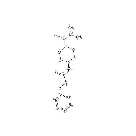 CN(C)C(=O)[C@@H]1CC[C@@H](NC(=O)OCc2ccccc2)CO1